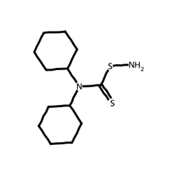 NSC(=S)N(C1CCCCC1)C1CCCCC1